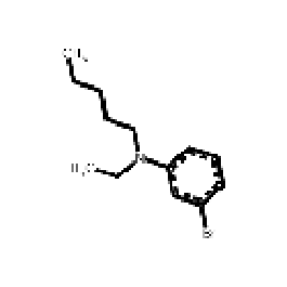 CCCCCN(CC)c1cccc(Br)c1